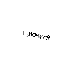 CC(Cc1ccco1)N1CCN(c2ccc(N)cc2)CC1